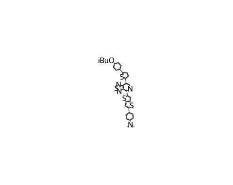 CC(C)COc1ccc(-c2ccc(-c3cnc(-c4cc5sc(-c6ccc(N(C)C)cc6)cc5s4)c4nsnc34)s2)cc1